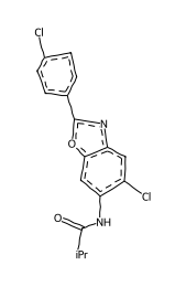 CC(C)C(=O)Nc1cc2oc(-c3ccc(Cl)cc3)nc2cc1Cl